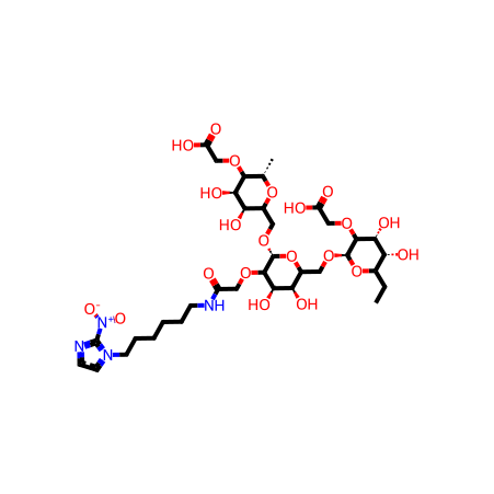 CCC1O[C@@H](OCC2O[C@@H](OCC3O[C@@H](C)C(OCC(=O)O)[C@H](O)[C@@H]3O)C(OCC(=O)NCCCCCCn3ccnc3[N+](=O)[O-])[C@H](O)[C@@H]2O)C(OCC(=O)O)[C@H](O)[C@@H]1O